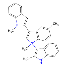 Cc1ccc2c(c1)C(c1cc3ccccc3n1C)=[C][N+]2(C)c1c(C)[nH]c2ccccc12